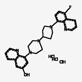 Cl.Cl.Cl.Oc1cc(N2CCN(C3CCN(c4ccc(F)c5cccnc45)CC3)CC2)c2ncccc2c1